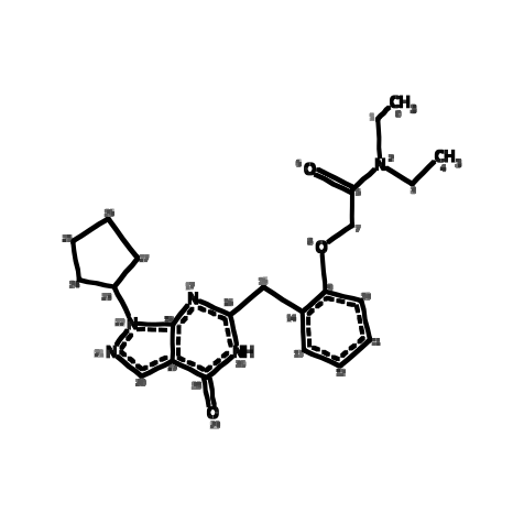 CCN(CC)C(=O)COc1ccccc1Cc1nc2c(cnn2C2CCCC2)c(=O)[nH]1